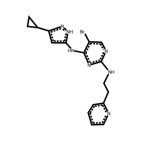 Brc1cnc(NCCc2ccccn2)nc1Nc1cc(C2CC2)n[nH]1